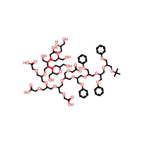 CC(C)(C)OCC(COc1ccccc1)OCC(COc1ccccc1)OCC(COc1ccccc1)OCC(COc1ccccc1)OCC(COCC(=O)O)OCC(COCC(=O)O)OCC(COCC(=O)O)OCC(COCC(=O)O)OCC(COCC(=O)O)OCC(CO)OCC(CO)OCC(CO)OCC(CO)OCC(O)CO